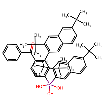 CC(C)(C)c1ccc2cc(-c3c(C(=O)c4ccccc4)ccc(P(O)(O)(O)c4cc5ccc(C(C)(C)C)cc5cc4C(C)(C)C)c3C(C)(C)C)c(C(C)(C)C)cc2c1